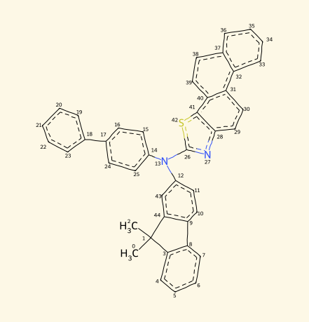 CC1(C)c2ccccc2-c2ccc(N(c3ccc(-c4ccccc4)cc3)c3nc4ccc5c6ccccc6ccc5c4s3)cc21